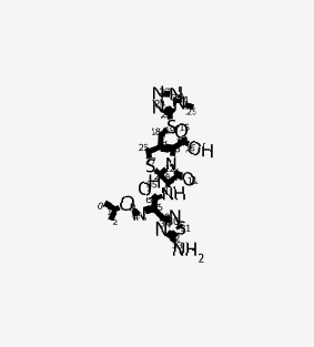 CC(C)O/N=C(\C(=O)NC1C(=O)N2C(C(=O)O)=C(CSc3nnnn3C)CS[C@H]12)c1nsc(N)n1